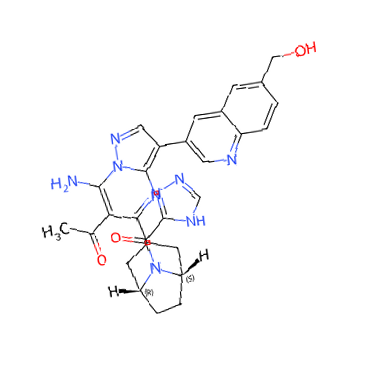 CC(=O)c1c(C2C[C@H]3CC[C@@H](C2)N3C(=O)c2nnc[nH]2)nc2c(-c3cnc4ccc(CO)cc4c3)cnn2c1N